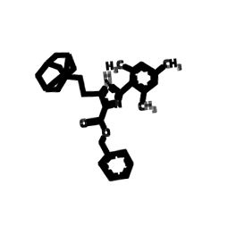 Cc1cc(C)c(-c2nc(C(=O)OCc3ccccc3)c(CCC34CC5CC(CC(C5)C3)C4)[nH]2)c(C)c1